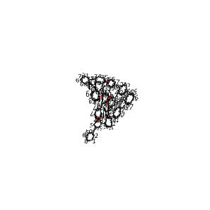 c1ccc(-c2cccc(-c3ccccc3N(c3ccc4c(c3)C3(c5ccccc5-c5ccccc53)c3ccccc3-4)c3ccccc3-c3ccc4c(c3)C3(c5ccccc5-4)c4ccccc4-n4c5ccccc5c5cccc3c54)c2)cc1